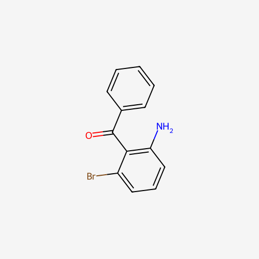 Nc1cccc(Br)c1C(=O)c1ccccc1